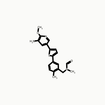 COc1ncc(-c2ccc(-c3ccc(C)c(CN(C)C=O)c3)s2)cc1N